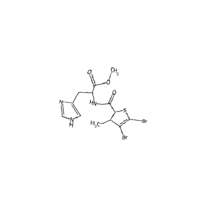 COC(=O)C(Cc1c[nH]cn1)NC(=O)C1SC(Br)=C(Br)C1C